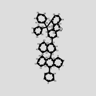 c1ccc(-c2c3ccccc3c(-c3ccc(-c4cc5c6c(c4)oc4cccc(c46)C5(c4ccccc4)c4ccccc4)c4ccccc34)c3ccccc23)cc1